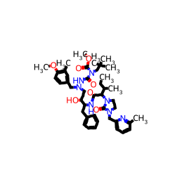 CCC(C)C(C(=O)NC(Cc1ccccc1)C(O)CN(Cc1ccc(OC)c(C)c1)NC(=O)N(CC(C)(C)C)C(=O)OC)N1CCN(Cc2cccc(C)n2)C1=O